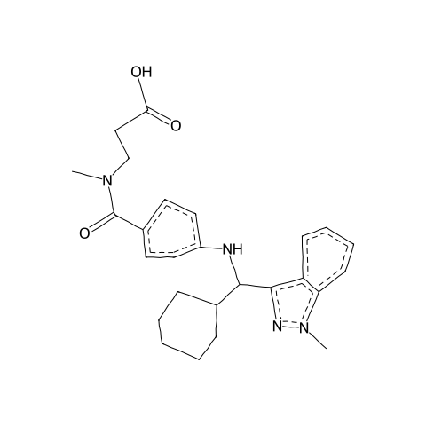 CN(CCC(=O)O)C(=O)c1ccc(NC(c2nn(C)c3ccccc23)C2CCCCC2)cc1